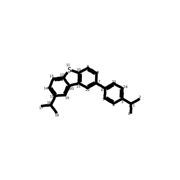 CC(C)c1ccc(-c2ccc3sc4ccc(C(C)C)cc4c3c2)cc1